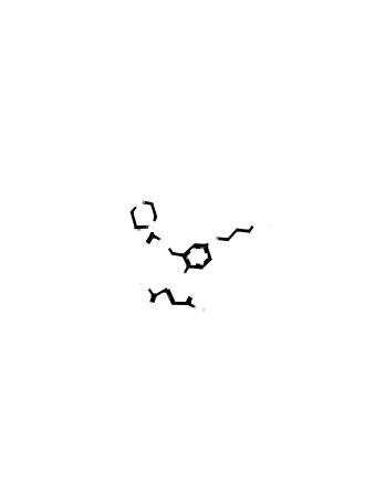 CCCCOc1ccc(F)c(COC(=O)N2CCNC[C@H]2C)c1.O=C(O)/C=C/C(=O)O